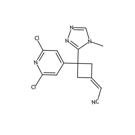 Cn1cnnc1C1(c2cc(Cl)nc(Cl)c2)CC(=CC#N)C1